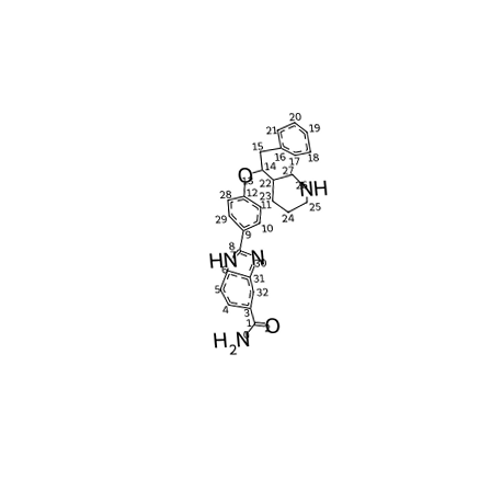 NC(=O)c1ccc2[nH]c(-c3ccc(OC(Cc4ccccc4)C4CCCNC4)cc3)nc2c1